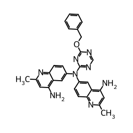 Cc1cc(N)c2cc(N(c3ccc4nc(C)cc(N)c4c3)c3ncnc(OCc4ccccc4)n3)ccc2n1